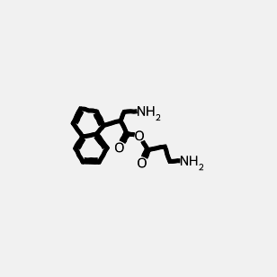 NCCC(=O)OC(=O)C(CN)c1cccc2ccccc12